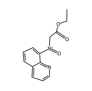 CCOC(=O)C[N+](=O)c1cccc2cccnc12